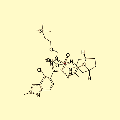 Cc1nc2c(-c3ccc4nn(C)cc4c3Cl)nn(COCC[Si](C)(C)C)c2nc1N1[C@@H]2CC[C@H]1C[C@@H](NC(=O)OC(C)(C)C)C2